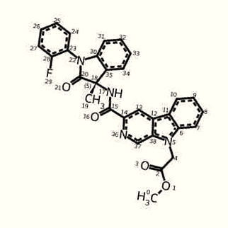 COC(=O)Cn1c2ccccc2c2cc(C(=O)N[C@]3(C)C(=O)N(c4ccccc4F)c4ccccc43)ncc21